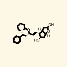 OC1C[C@@H]2[C@@H](/C=C/[C@H](CCc3ccccc3)OC3CCCCO3)[C@H](O)C[C@@H]2O1